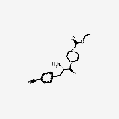 CCOC(=O)N1CCN(C(=O)[C@@H](N)Cc2ccc(C#N)cc2)CC1